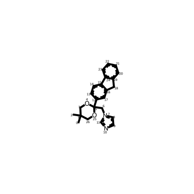 CC1(C)COC(Cn2ccnc2)(c2ccc3c(c2)Cc2ccccc2-3)OC1